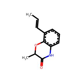 CC=Cc1cccc2c1OC(C)C(=O)N2